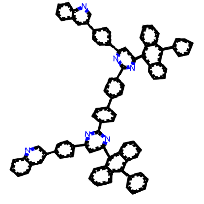 c1ccc(-c2c3ccccc3c(-c3cc(-c4ccc(-c5cnc6ccccc6c5)cc4)nc(-c4ccc(-c5ccc(-c6nc(-c7ccc(-c8cnc9ccccc9c8)cc7)cc(-c7c8ccccc8c(-c8ccccc8)c8ccccc78)n6)cc5)cc4)n3)c3ccccc23)cc1